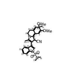 COC1=CC2=C3C(C#N)C(c4cn(S(=O)(=O)N(C)C)c5ccccc45)=C(C)N3CCC2=CC1(C)OC